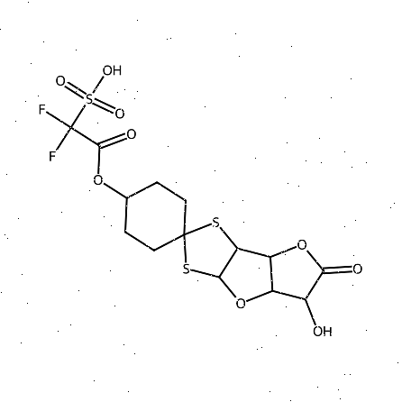 O=C1OC2C(OC3SC4(CCC(OC(=O)C(F)(F)S(=O)(=O)O)CC4)SC32)C1O